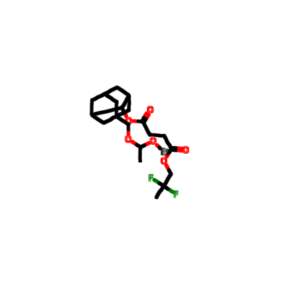 CCOC(C)OCC12CC3CC(C1)C(OC(=O)CCC(=O)OCC(C)(F)F)C(C3)C2